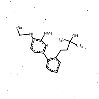 CNc1nc(-c2ccccc2CCC(C)(C)O)ccc1NCC(C)(C)C